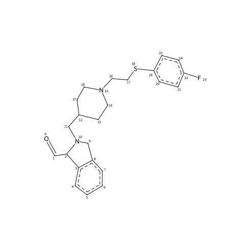 O=CC1c2ccccc2CN1CC1CCN(CCSc2ccc(F)cc2)CC1